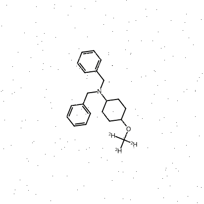 [2H]C([2H])([2H])OC1CCC(N(Cc2ccccc2)Cc2ccccc2)CC1